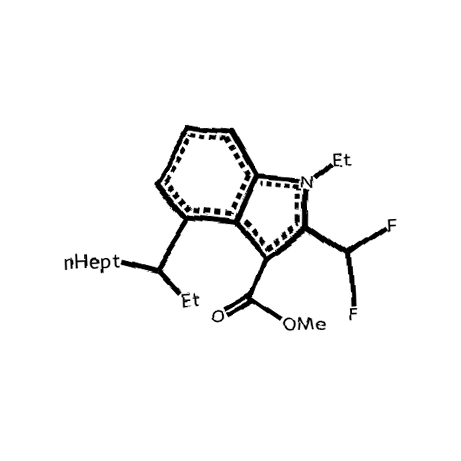 CCCCCCCC(CC)c1cccc2c1c(C(=O)OC)c(C(F)F)n2CC